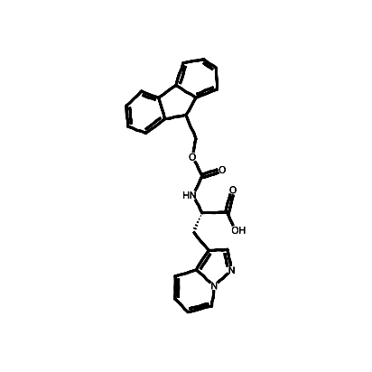 O=C(N[C@@H](Cc1cnn2ccccc12)C(=O)O)OCC1c2ccccc2-c2ccccc21